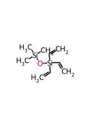 C=C[Si](C=C)(C=C)O[Si](C)(C)C